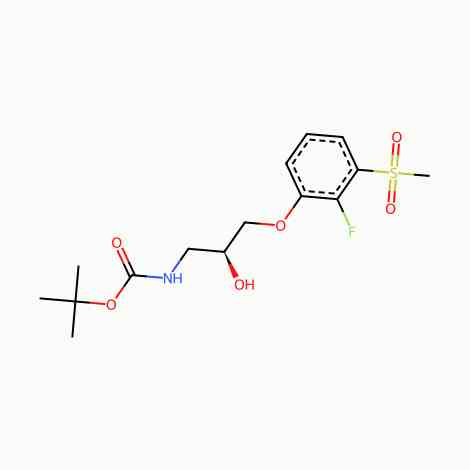 CC(C)(C)OC(=O)NC[C@H](O)COc1cccc(S(C)(=O)=O)c1F